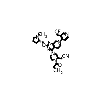 C=CC(=O)N1CCN(c2nc(OC[C@@H]3CCCN3C)nc3c2CCN(c2ccncc2CC(F)(F)F)C3)CC1CC#N